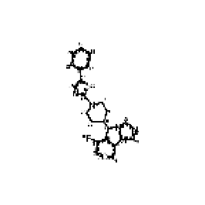 Fc1cccc2c1C(C1CCN(c3ncc(-c4ccccc4)s3)CC1)n1cncc1-2